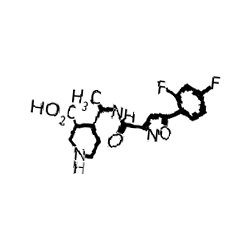 CC(NC(=O)c1cc(-c2ccc(F)cc2F)on1)[C@H]1CCNC[C@H]1C(=O)O